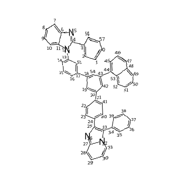 c1ccc(-c2nc3ccccc3n2-c2cccc(-c3cc(-c4ccc(-c5nc6ccccn6c5-c5ccccc5)cc4)cc(-c4cccc5ccccc45)c3)c2)cc1